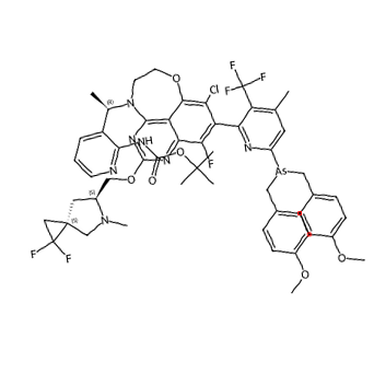 COc1ccc(C[As](Cc2ccc(OC)cc2)c2cc(C)c(C(F)(F)F)c(-c3c(Cl)c4c5c(nc(OC[C@@H]6C[C@@]7(CN6C)CC7(F)F)nc5c3F)N([C@H](C)c3cccnc3NC(=O)OC(C)(C)C)CCO4)n2)cc1